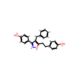 Oc1ccc(CCc2onc(-c3ccc(O)cc3)c2Cc2ccccc2)cc1